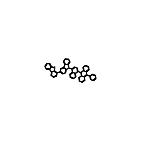 c1ccc(-c2c3ccccc3c(-c3ccc(-n4c5ccccc5c5cc(-c6cccc7c6sc6ccccc67)ccc54)c4ccccc34)c3ccccc23)cc1